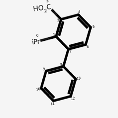 CC(C)c1c(C(=O)O)cccc1-c1ccccc1